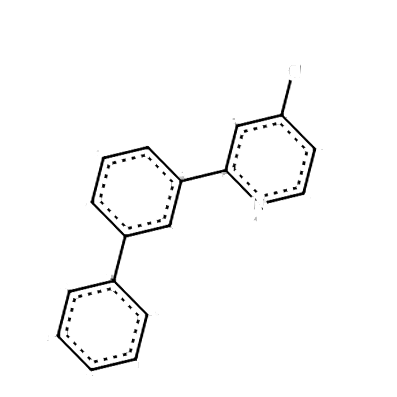 Clc1ccnc(-c2cccc(-c3ccccc3)c2)c1